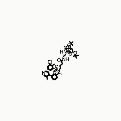 Cc1cnccc1-c1cccc([C@H](C)N(CCCC(=O)NCCNS(=O)(=O)N(CC(=O)OC(C)(C)C)OC(C)(C)C)S(=O)(=O)c2cccc(Cl)c2C)c1